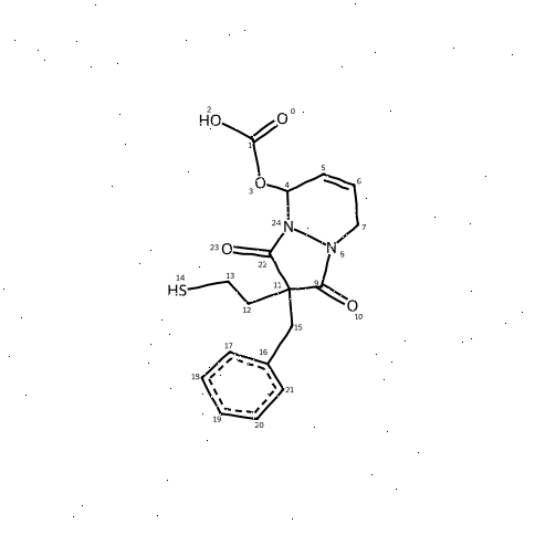 O=C(O)OC1C=CCN2C(=O)C(CCS)(Cc3ccccc3)C(=O)N12